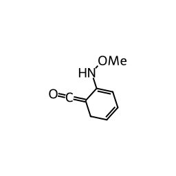 CONC1=CC=CCC1=C=O